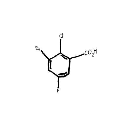 O=C(O)c1cc(F)cc(Br)c1Cl